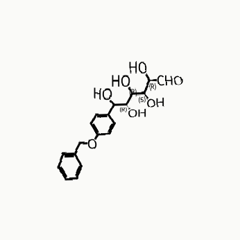 O=C[C@H](O)[C@@H](O)[C@H](O)[C@H](O)C(O)c1ccc(OCc2ccccc2)cc1